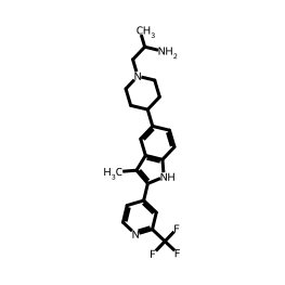 Cc1c(-c2ccnc(C(F)(F)F)c2)[nH]c2ccc(C3CCN(CC(C)N)CC3)cc12